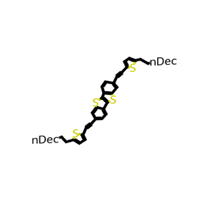 CCCCCCCCCCCCc1ccc(C#Cc2ccc3c(c2)sc2c4ccc(C#Cc5ccc(CCCCCCCCCCCC)s5)cc4sc32)s1